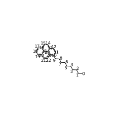 CCCCCCCCCCc1ccc2ccc3[c]ccc4ccc1c2c34